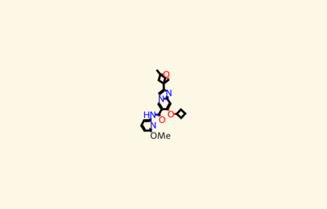 COc1cccc(NC(=O)c2cn3cc(C45COC(C)(C4)C5)nc3cc2OC2CCC2)n1